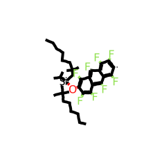 CCCCCCC(C)(C)C[Si](CC(C)(C)CCCCCC)(Oc1c(F)c(F)c2c(F)c3c(F)[c]c(F)c(F)c3c(F)c2c1F)C(C)C